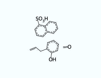 C=CCc1ccccc1O.C=O.O=S(=O)(O)c1cccc2ccccc12